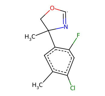 Cc1cc(C2(C)CO[C]=N2)c(F)cc1Cl